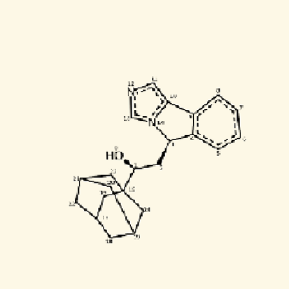 O[C@@H](C[C@@H]1c2ccccc2-c2cncn21)C12CC3CC(CC(C3)C1)C2